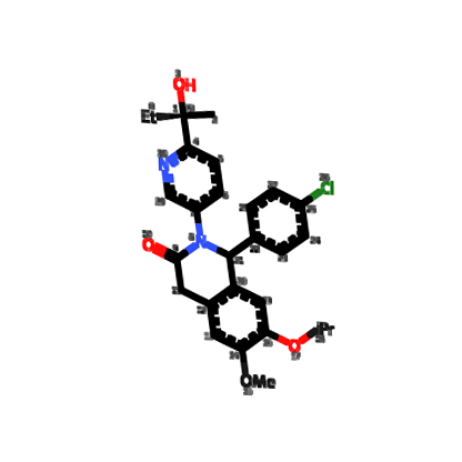 CC[C@](C)(O)c1ccc(N2C(=O)Cc3cc(OC)c(OC(C)C)cc3C2c2ccc(Cl)cc2)cn1